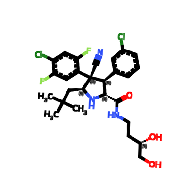 CC(C)(C)C[C@@H]1N[C@@H](C(=O)NCC[C@H](O)CO)[C@H](c2cccc(Cl)c2)[C@@]1(C#N)c1cc(F)c(Cl)cc1F